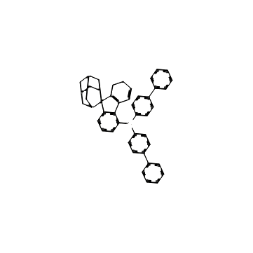 C1=CC2=C(CC1)C1(c3cccc(N(c4ccc(-c5ccccc5)cc4)c4ccc(-c5ccccc5)cc4)c32)C2CC3CC(C2)CC1C3